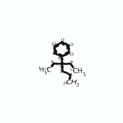 CCCC(CC)(CC)c1[c]cccc1